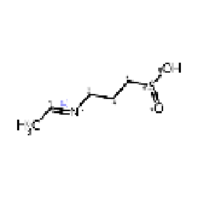 C/C=N/CCCS(=O)O